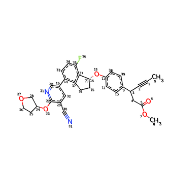 CC#CC(CC(=O)OC)c1ccc(O[C@@H]2CCc3c(-c4cnc(OC5CCOC5)c(C#N)c4)ccc(F)c32)cc1